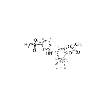 CS(=O)(=O)Oc1ncc(Nc2cccc(S(C)(=O)=O)c2)c2c1C1CCC2C1